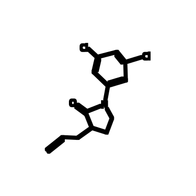 C=CCC1CCN(c2cc(Cl)cc(Cl)c2)C1=O